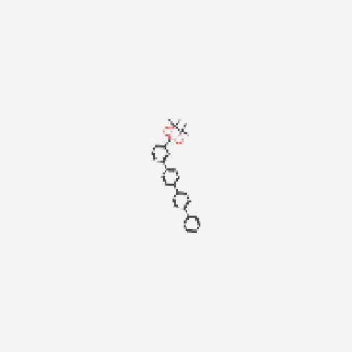 CC1(C)OC(c2cccc(-c3ccc(-c4ccc(-c5ccccc5)cc4)cc3)c2)OC1(C)C